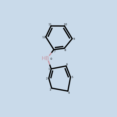 B(C1=CCCC=C1)c1ccccc1